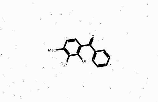 COc1ccc(C(=O)c2ccccc2)c(O)c1[N+](=O)[O-]